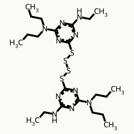 CCCN(CCC)c1nc(NCC)nc(SSSSc2nc(NCC)nc(N(CCC)CCC)n2)n1